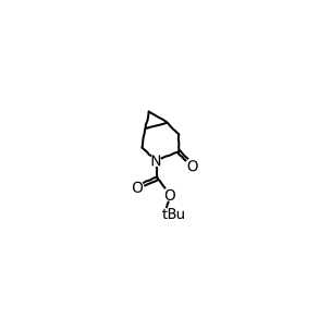 CC(C)(C)OC(=O)N1CC2CC2CC1=O